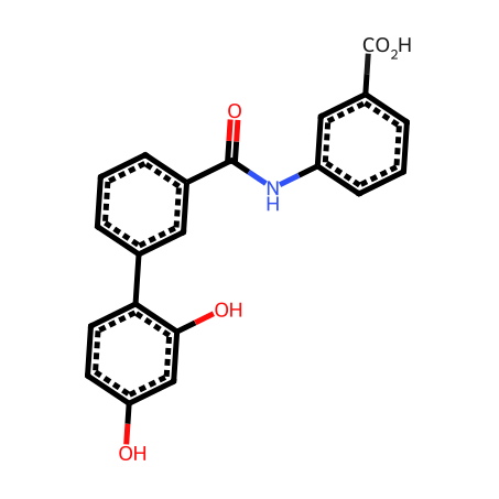 O=C(O)c1cccc(NC(=O)c2cccc(-c3ccc(O)cc3O)c2)c1